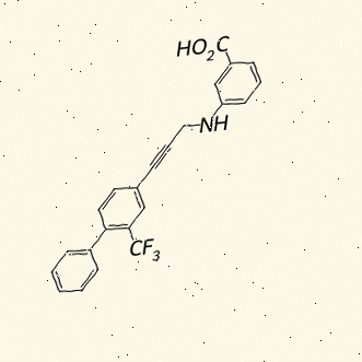 O=C(O)c1cccc(NCC#Cc2ccc(-c3ccccc3)c(C(F)(F)F)c2)c1